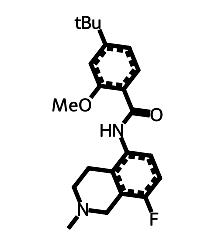 COc1cc(C(C)(C)C)ccc1C(=O)Nc1ccc(F)c2c1CCN(C)C2